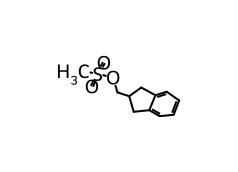 CS(=O)(=O)OCC1Cc2ccccc2C1